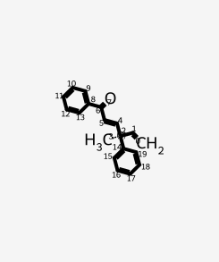 C=C[C@](C)(C=CC(=O)c1ccccc1)c1ccccc1